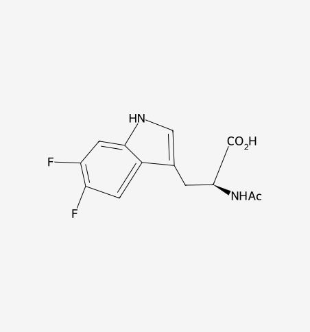 CC(=O)N[C@@H](Cc1c[nH]c2cc(F)c(F)cc12)C(=O)O